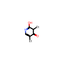 CCC1=CN=C(O)C(CC)C1=O